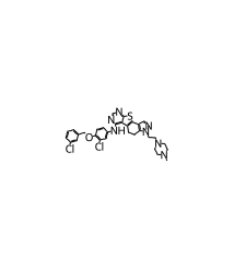 CN1CCN(CCn2ncc3c2CCc2c-3sc3ncnc(Nc4ccc(OCc5cccc(Cl)c5)c(Cl)c4)c23)CC1